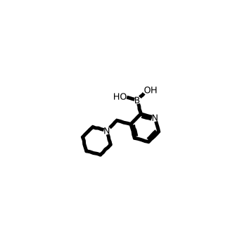 OB(O)c1ncccc1CN1CCCCC1